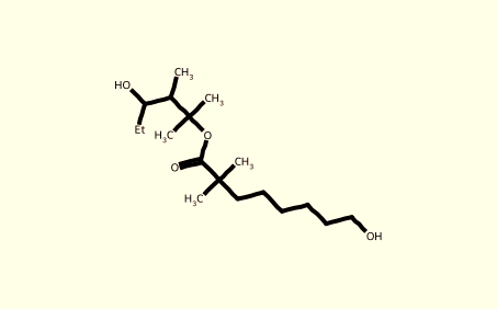 CCC(O)C(C)C(C)(C)OC(=O)C(C)(C)CCCCCCO